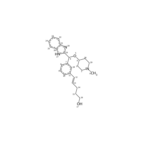 CN1CCC(OC(c2cccc(C=CCCCO)c2)c2nc3ccccc3[nH]2)CC1